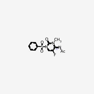 CC(=O)/N=c1\c(F)cn(S(=O)(=O)c2ccccc2)c(=O)n1C